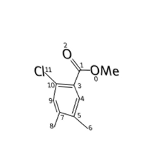 COC(=O)c1cc(C)c(C)cc1Cl